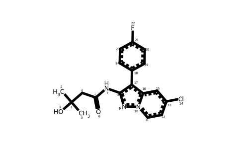 CC(C)(O)CC(=O)Nc1nn2ccc(Cl)cc2c1-c1ccc(F)cc1